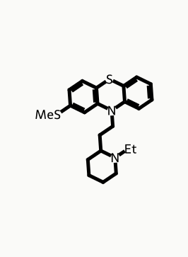 CCN1CCCCC1CCN1c2ccccc2Sc2ccc(SC)cc21